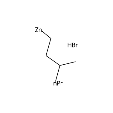 Br.CCCC(C)C[CH2][Zn]